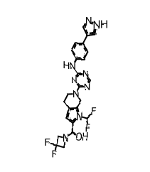 OC(c1cc2c(n1C(F)F)CN(c1ncnc(Nc3ccc(-c4cn[nH]c4)cc3)n1)CC2)N1CC(F)(F)C1